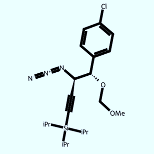 COCO[C@@H](c1ccc(Cl)cc1)[C@@H](C#C[Si](C(C)C)(C(C)C)C(C)C)N=[N+]=[N-]